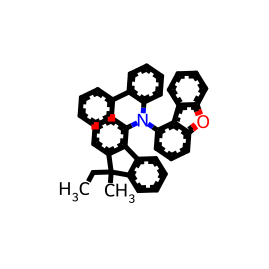 CCC1(C)c2ccccc2-c2c(N(c3ccccc3-c3ccccc3)c3cccc4oc5ccccc5c34)cccc21